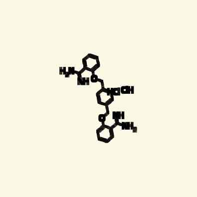 Cl.Cl.N=C(N)c1ccccc1OCc1ccc(COc2ccccc2C(=N)N)cc1